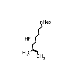 CC=C(C)CCCCCCCCCCCC.F